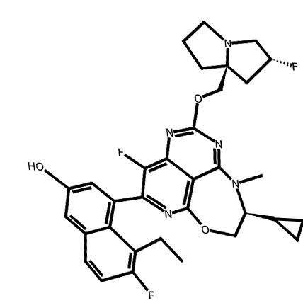 CCc1c(F)ccc2cc(O)cc(-c3nc4c5c(nc(OC[C@@]67CCCN6C[C@H](F)C7)nc5c3F)N(C)[C@@H](C3CC3)CO4)c12